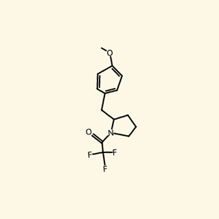 COc1ccc(CC2CCCN2C(=O)C(F)(F)F)cc1